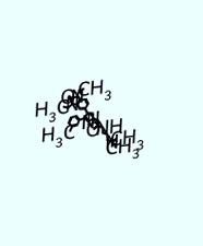 CCn1c(=O)n(CC)c2cc(-c3cn(CC(=O)NCCCN(C)C)nc3-c3cccc(C)c3)ccc21